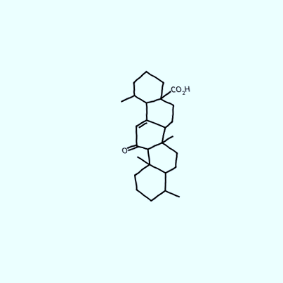 CC1CCCC2(C(=O)O)CCC3C(=CC(=O)C4C3(C)CCC3C(C)CCCC34C)C12